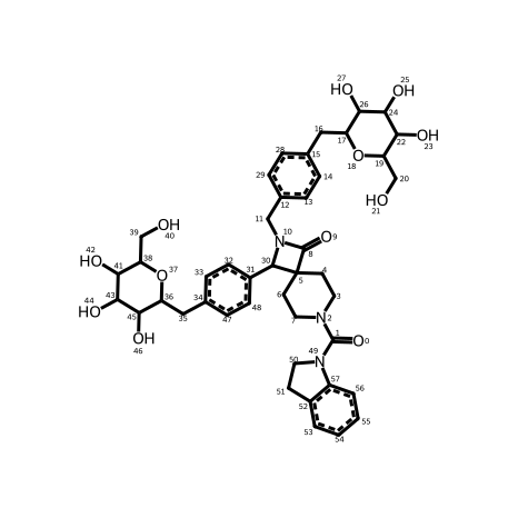 O=C(N1CCC2(CC1)C(=O)N(Cc1ccc(CC3OC(CO)C(O)C(O)C3O)cc1)C2c1ccc(CC2OC(CO)C(O)C(O)C2O)cc1)N1CCc2ccccc21